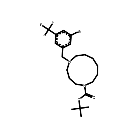 CC(C)(C)OC(=O)N1CCCCCCN(Cc2cc(Br)cc(C(F)(F)F)c2)CCC1